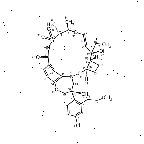 CCCc1cc(Cl)ccc1[C@]1(C)COc2ccc3cc2N(C[C@@H]2CC[C@H]2[C@@](O)(CC)/C=C/C[C@H](C)[C@@H](C)S(=O)(=O)NC3=O)C1